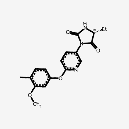 CC[C@H]1NC(=O)N(c2ccc(Oc3ccc(C)c(OC(F)(F)F)c3)nc2)C1=O